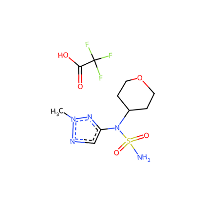 Cn1ncc(N(C2CCOCC2)S(N)(=O)=O)n1.O=C(O)C(F)(F)F